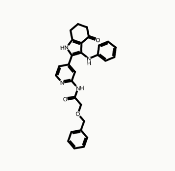 O=C(COCc1ccccc1)Nc1cc(-c2[nH]c3c(c2Nc2ccccc2)C(=O)CCC3)ccn1